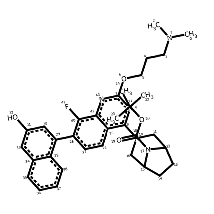 CN(C)CCCOc1nc(N2CC3CCC(C2)N3C(=O)OC(C)(C)C)c2ccc(-c3cc(O)cc4ccccc34)c(F)c2n1